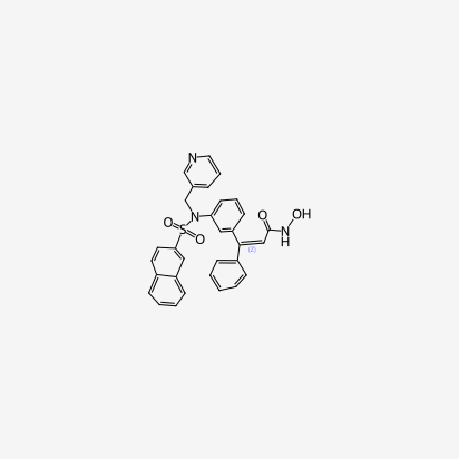 O=C(/C=C(/c1ccccc1)c1cccc(N(Cc2cccnc2)S(=O)(=O)c2ccc3ccccc3c2)c1)NO